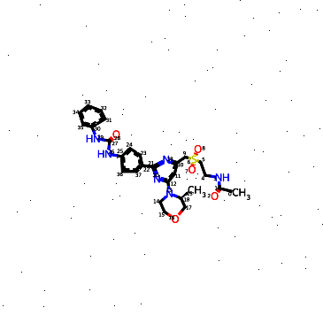 CC(=O)NCCS(=O)(=O)Cc1cc(N2CCOC[C@@H]2C)nc(-c2ccc(NC(=O)Nc3ccccc3)cc2)n1